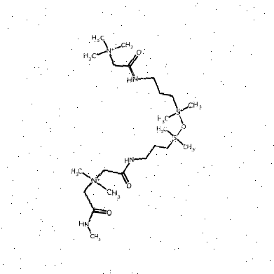 CNC(=O)C[N+](C)(C)CC(=O)NCCC[Si](C)(C)O[Si](C)(C)CCCNC(=O)C[N+](C)(C)C